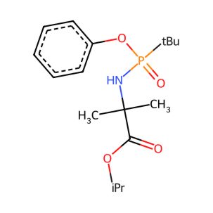 CC(C)OC(=O)C(C)(C)NP(=O)(Oc1ccccc1)C(C)(C)C